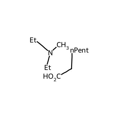 CCCCCCC(=O)O.CCN(C)CC